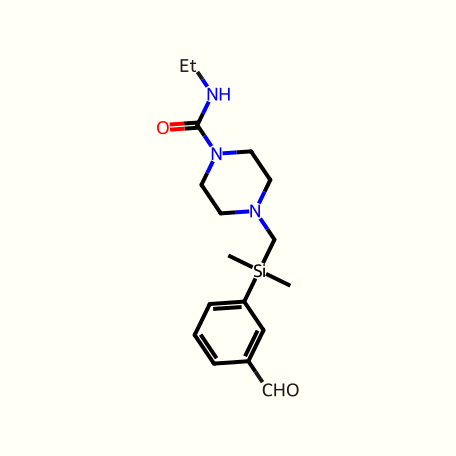 CCNC(=O)N1CCN(C[Si](C)(C)c2cccc(C=O)c2)CC1